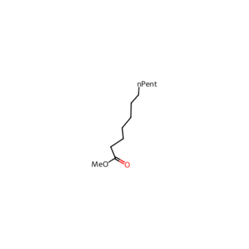 CCCCCCCCCCCC(=O)OC